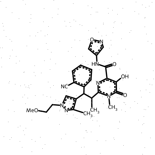 COCCn1cc(C(c2ccccc2C#N)C(C)c2nc(C(=O)Nc3cnoc3)c(O)c(=O)n2C)c(C)n1